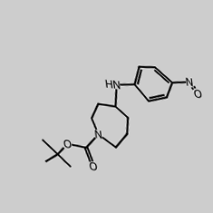 CC(C)(C)OC(=O)N1CCCC(Nc2ccc(N=O)cc2)CC1